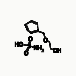 NS(=O)(=O)O.OCCOCc1ccccc1